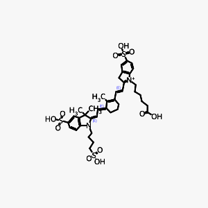 CC1=C(/C=C/C2=[N+](CCCCCC(=O)O)c3ccc(S(=O)(=O)O)cc3C2)CCC/C1=C\C=C1\N(CCCCS(=O)(=O)O)c2ccc(S(=O)(=O)O)cc2C1(C)C